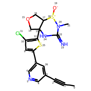 CC#Cc1cncc(-c2cc(Cl)c(C34COCC3[S+]([O-])N(C)C(=N)N4)s2)c1